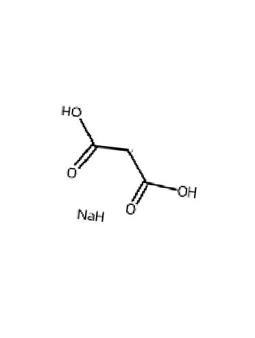 O=C(O)[CH]C(=O)O.[NaH]